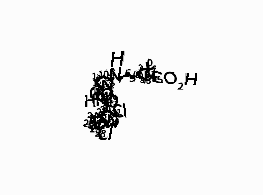 CC1(C)C[C@H](CCCNc2cccc(S(=O)(=O)NC(=O)c3cc([Si](C)(C)C)c(Cl)nc3Cl)n2)CN1C(=O)O